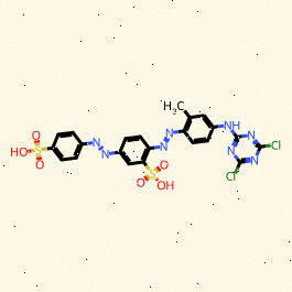 Cc1cc(Nc2nc(Cl)nc(Cl)n2)ccc1N=Nc1ccc(N=Nc2ccc(S(=O)(=O)O)cc2)cc1S(=O)(=O)O